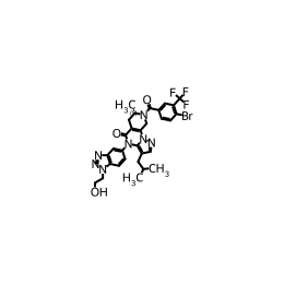 CC(C)Cc1cnn2c3c(c(=O)n(-c4ccc5c(c4)nnn5CCO)c12)C[C@H](C)N(C(=O)c1ccc(Br)c(C(F)(F)F)c1)C3